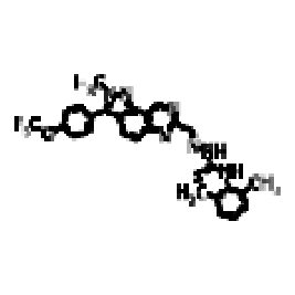 Cc1cccc(C)c1NC(=S)NN=Cc1ncc2c(ccc3c(-c4ccc(OC(F)(F)F)cc4)n(C)nc32)n1